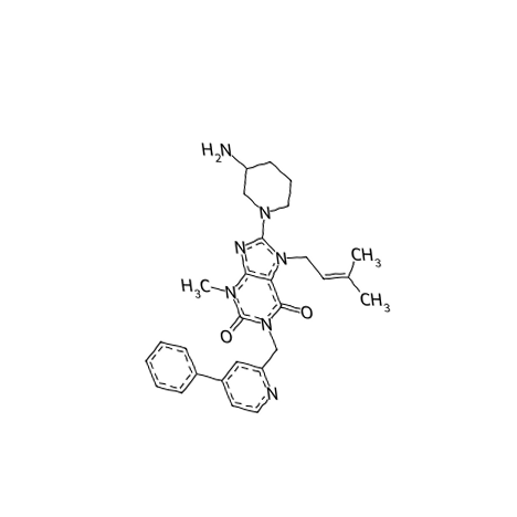 CC(C)=CCn1c(N2CCCC(N)C2)nc2c1c(=O)n(Cc1cc(-c3ccccc3)ccn1)c(=O)n2C